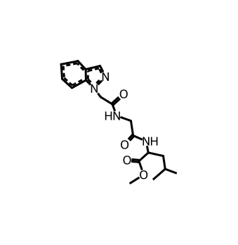 COC(=O)C(CC(C)C)NC(=O)CNC(=O)Cn1ncc2ccccc21